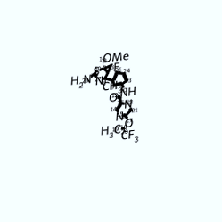 COC[C@]12CC1[C@@](C)(c1cc(NC(=O)c3cnc(O[C@@H](C)C(F)(F)F)cn3)ccc1F)N=C(N)S2